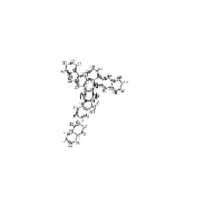 CC1(C)c2cc(-c3ccc4ccccc4c3)ccc2-c2nc(-c3ccc4c(c3)sc3ccccc34)c(-n3c4ccccc4c4cc5ccccc5cc43)nc21